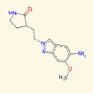 COc1cc2nn(CCC3CCNC3=O)cc2cc1N